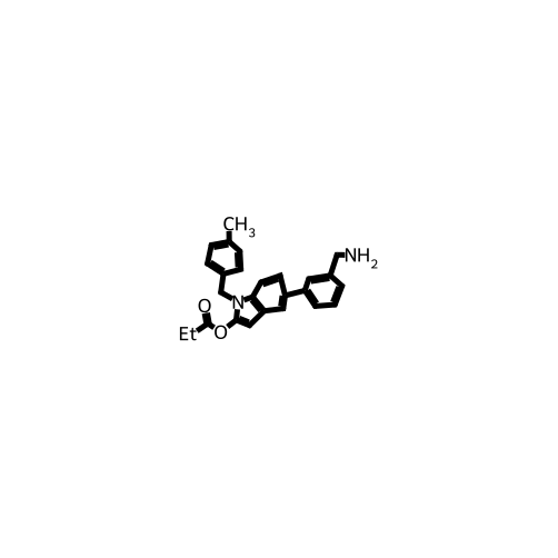 CCC(=O)Oc1cc2cc(-c3cccc(CN)c3)ccc2n1Cc1ccc(C)cc1